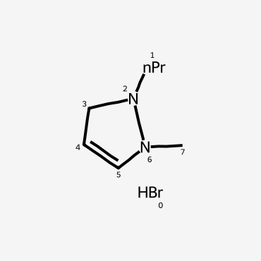 Br.CCCN1CC=CN1C